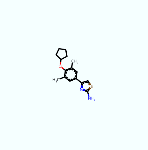 Cc1cc(-c2csc(N)n2)cc(C)c1OC1CCCC1